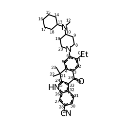 CCc1cc2c(cc1N1CCC(N(C)C3CCCCC3)CC1)C(C)(C)c1[nH]c3cc(C#N)ccc3c1C2=O